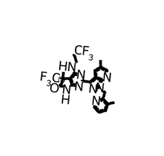 Cc1cnc2c(c1)c(-c1nc(NCCC(F)(F)F)c3c(n1)NC(=O)[C@@]3(C)C(F)(F)F)nn2Cc1ncccc1C